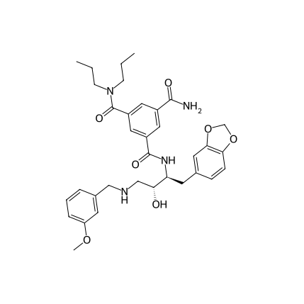 CCCN(CCC)C(=O)c1cc(C(N)=O)cc(C(=O)N[C@@H](Cc2ccc3c(c2)OCO3)[C@H](O)CNCc2cccc(OC)c2)c1